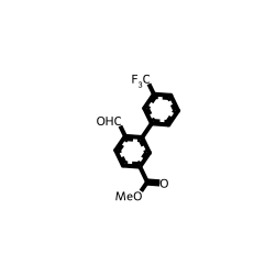 COC(=O)c1ccc(C=O)c(-c2cccc(C(F)(F)F)c2)c1